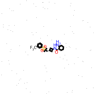 CC(C)(C[C@H]1C[C@H](NC(=O)[C@H]2CCCC[C@@H]2N)C1)S(=O)(=O)c1cccc(C(F)(F)F)c1